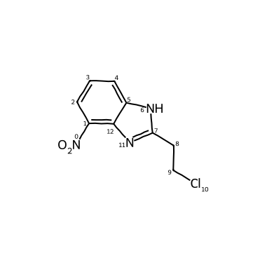 O=[N+]([O-])c1cccc2[nH]c(CCCl)nc12